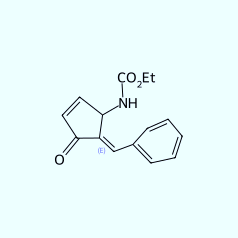 CCOC(=O)NC1C=CC(=O)/C1=C/c1ccccc1